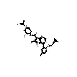 CC(=O)N1CC[C@@H](NC(=O)c2c(C)[nH]c3c(-c4cc(C)ccc4OCC4CC4)ncnc23)[C@H](F)C1